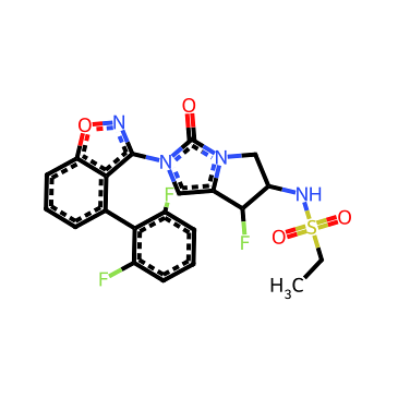 CCS(=O)(=O)NC1Cn2c(cn(-c3noc4cccc(-c5c(F)cccc5F)c34)c2=O)C1F